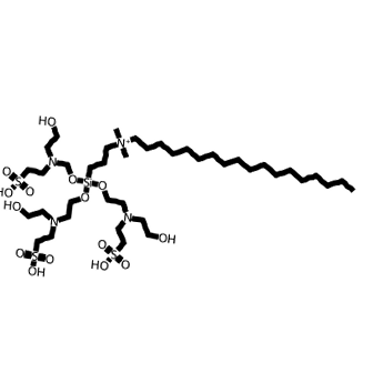 CCCCCCCCCCCCCCCCCC[N+](C)(C)CCC[Si](OCCN(CCO)CCS(=O)(=O)O)(OCCN(CCO)CCS(=O)(=O)O)OCN(CCO)CCS(=O)(=O)O